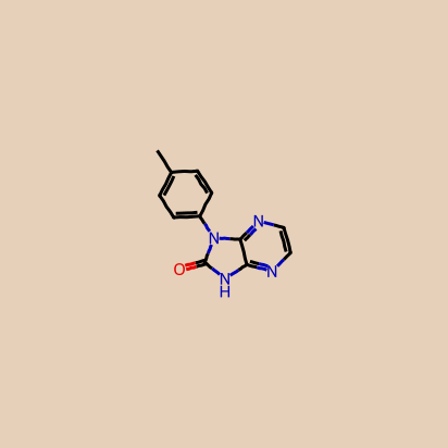 Cc1ccc(-n2c(=O)[nH]c3nccnc32)cc1